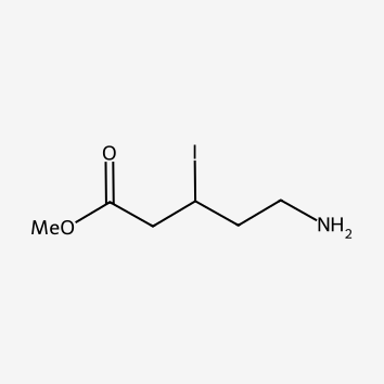 COC(=O)CC(I)CCN